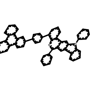 c1ccc(-c2nc3c(-c4ccc(-c5ccc6c7ccccc7c7ccccc7c6c5)cc4)cccc3c3cc4c(cc23)c2ccccc2n4-c2ccccc2)cc1